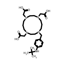 CC(C)(C)Nc1ccc(CN2CCCN(CC(=O)O)CCN(CC(=O)O)CCCN(CC(=O)O)CC2)cc1